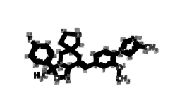 COc1cc(/C=C2\CC3(CCOC3)CN3C2=NOC3(C)c2ccc(F)cc2)ccc1-n1cnc(C)c1